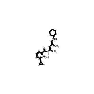 CC(=C\NC1CCCCC1)/C=C(\C)NC(=O)c1cccc(C2CC2)[n+]1O